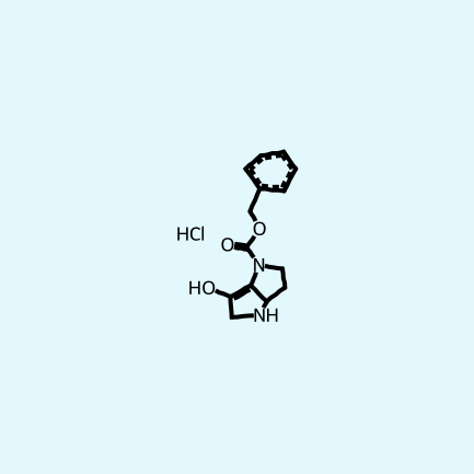 Cl.O=C(OCc1ccccc1)N1CCC2NCC(O)=C21